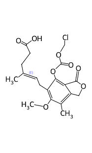 COc1c(C)c2c(c(OC(=O)OCCl)c1C/C=C(\C)CCC(=O)O)C(=O)OC2